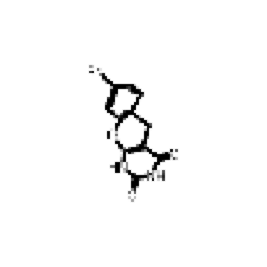 O=c1[nH]c2c(c(=O)[nH]1)Cc1ccc(Br)cc1O2